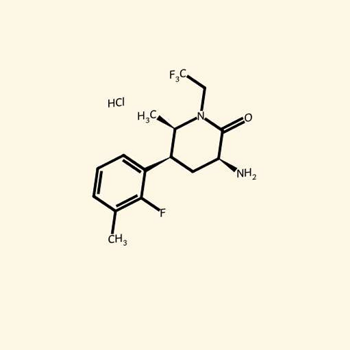 Cc1cccc([C@@H]2C[C@H](N)C(=O)N(CC(F)(F)F)[C@@H]2C)c1F.Cl